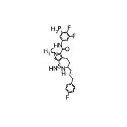 Cn1cc2c(c1C(=O)Nc1cc(F)c(F)c(P)c1)CCC(CCCc1ccc(F)cc1)NS2=N